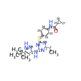 CCc1nc(Nc2cc(C(C)(C)C)[nH]n2)nc(Sc2ccc(NC(=O)C3CC3)cc2)n1